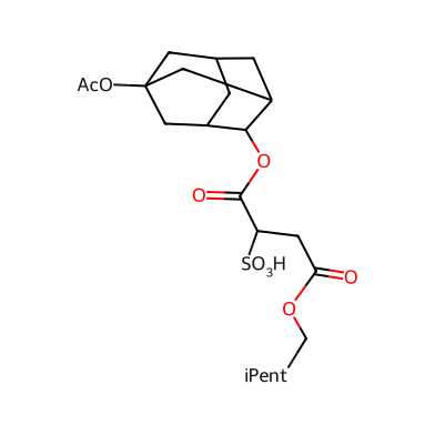 CCCC(C)COC(=O)CC(C(=O)OC1C2CC3CC1CC(OC(C)=O)(C3)C2)S(=O)(=O)O